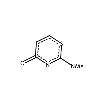 CNc1nc(=O)ccs1